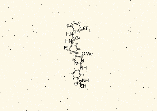 COc1nc(Nc2cccc(S(C)(=N)=O)c2)ncc1-c1ccc(NC(=O)Nc2cc(C(F)(F)F)ccc2F)c(F)c1